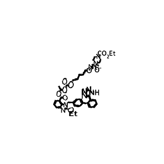 CCOC(=O)N1CCN(/[N+]([O-])=N/OCCCCCOC(=O)OC(C)OC(=O)c2cccc3nc(OCC)n(Cc4ccc(-c5ccccc5-c5nnn[nH]5)cc4)c23)CC1